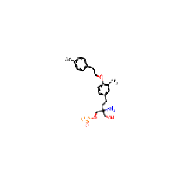 CC(=O)c1ccc(CCOc2ccc(CCC(N)(CO)CO[PH2]=O)cc2C(F)(F)F)cc1